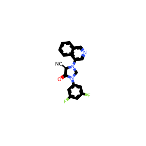 N#C[C@@H]1C(=O)N(c2cc(F)cc(F)c2)CN1c1cncc2ccccc12